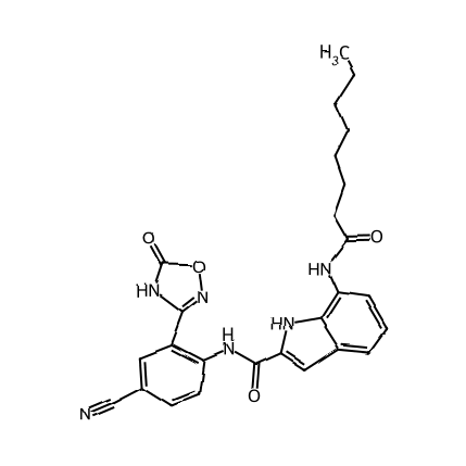 CCCCCCCC(=O)Nc1cccc2cc(C(=O)Nc3ccc(C#N)cc3-c3noc(=O)[nH]3)[nH]c12